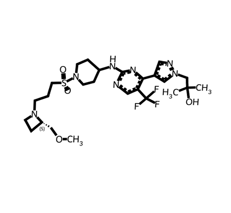 COC[C@@H]1CCN1CCCS(=O)(=O)N1CCC(Nc2ncc(C(F)(F)F)c(-c3cnn(CC(C)(C)O)c3)n2)CC1